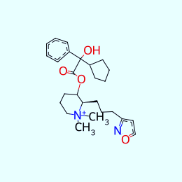 C[N+]1(C)CCCC(OC(=O)C(O)(c2ccccc2)C2CCCC2)[C@H]1CCCc1ccon1